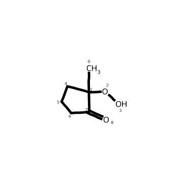 CC1(OO)CCCC1=O